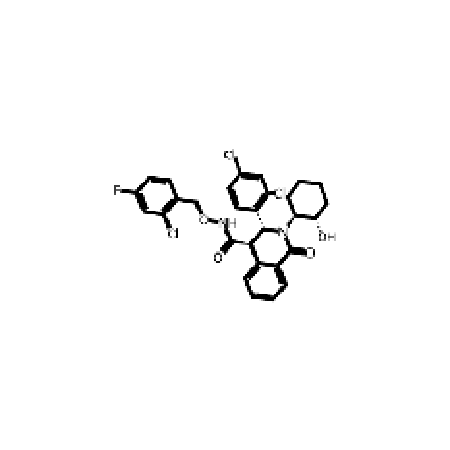 O=C(NOCc1ccc(F)cc1Cl)[C@@H]1c2ccccc2C(=O)N([C@H]2CCCC[C@@H]2O)[C@H]1c1ccc(Cl)cc1Cl